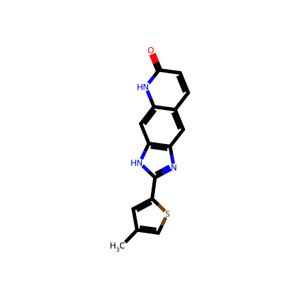 Cc1csc(-c2nc3cc4ccc(=O)[nH]c4cc3[nH]2)c1